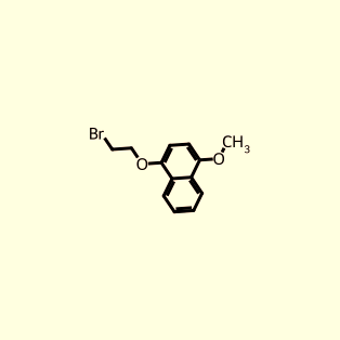 COc1ccc(OCCBr)c2ccccc12